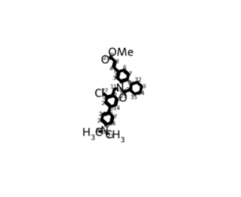 COC(=O)/C=C/c1cccc(N(Cc2ccc(-c3ccc(N(C)C)cc3)cc2Cl)C(=O)C2CCCCC2)c1